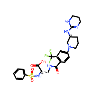 O=C(NC[C@H](NS(=O)(=O)c1ccccc1)C(=O)O)c1ccc(N2CCC[C@H](NC3=NCCCN3)C2)cc1C(F)(F)F